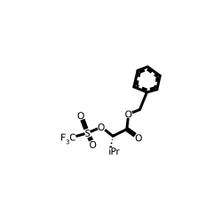 CC(C)[C@H](OS(=O)(=O)C(F)(F)F)C(=O)OCc1ccccc1